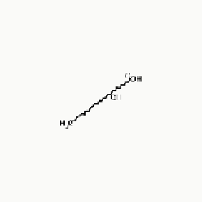 CCCCCCCCCCCCCCCCCCC(O)CCCCCCCCC(=O)O